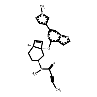 CC#CC(=O)N(C)[C@H]1CC[C@H]2C=C[C@@]2(Oc2nc(-c3cnn(C)c3)cn3nccc23)C1